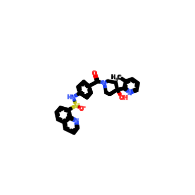 Cc1cccnc1C1(O)CCN(C(=O)c2ccc(N[S+]([O-])c3cccc4cccnc34)cc2)CC1